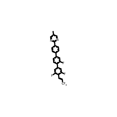 Cc1cnc(-c2ccc(-c3ccc(-c4cc(F)c(/C=C/C(F)(F)F)c(F)c4)c(F)c3)cc2)nc1